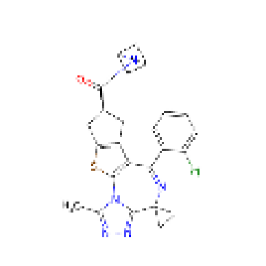 Cc1nnc2n1-c1sc3c(c1C(c1ccccc1Cl)=NC21CC1)C[C@H](C(=O)N1CC2CC1C2)C3